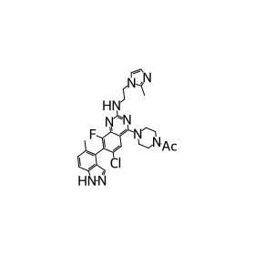 CC(=O)N1CCN(c2nc(NCCn3ccnc3C)nc3c(F)c(-c4c(C)ccc5[nH]ncc45)c(Cl)cc23)CC1